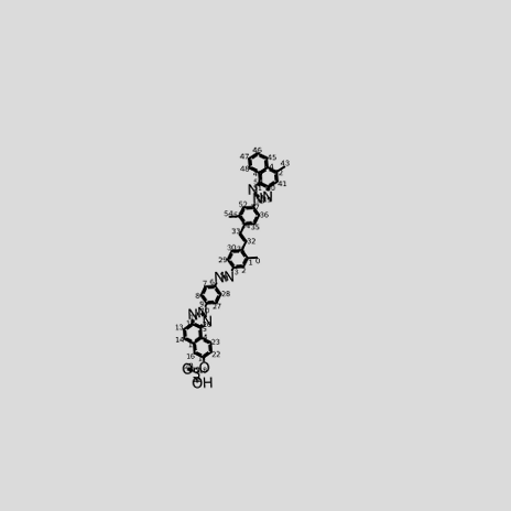 Cc1cc(N=Nc2ccc(-n3nc4ccc5cc(OS(=O)O)ccc5c4n3)cc2)ccc1C=Cc1ccc(-n2nc3cc(C)c4ccccc4c3n2)cc1C